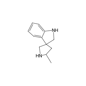 CC1CC2(CNc3ccccc32)CN1